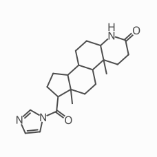 CC12CCC(=O)NC1CCC1C2CCC2(C)C(C(=O)n3ccnc3)CCC12